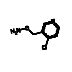 NOCc1cnccc1Cl